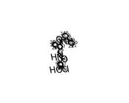 O=C(N/N=C/c1ccc(C(=O)NC2CCCCC2C2CCCCC2)c2ccccc12)c1ccc(O)c(Cl)c1